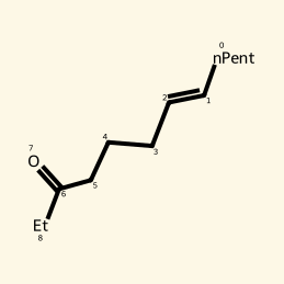 CCCCCC=CCCCC(=O)CC